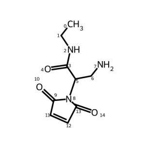 CCNC(=O)C(CN)N1C(=O)C=CC1=O